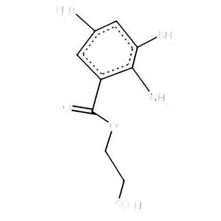 Bc1cc(B)c(N)c(C(=O)OCCS(=O)(=O)O)c1